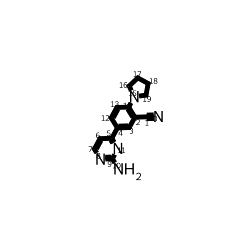 N#Cc1cc(-c2ccnc(N)n2)ccc1N1CCCC1